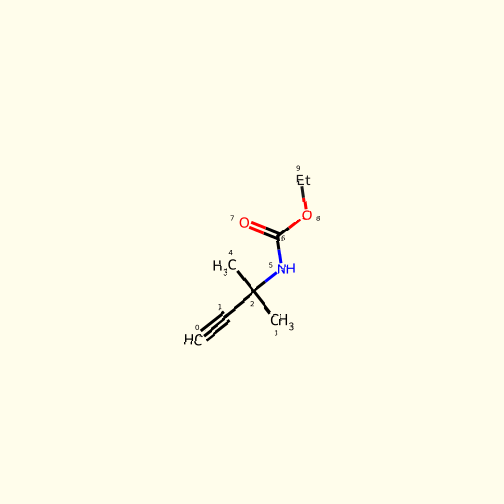 C#CC(C)(C)NC(=O)OCC